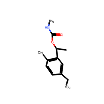 CC(OC(=O)NC(C)(C)C)c1cc(CC(C)(C)C)ccc1N=O